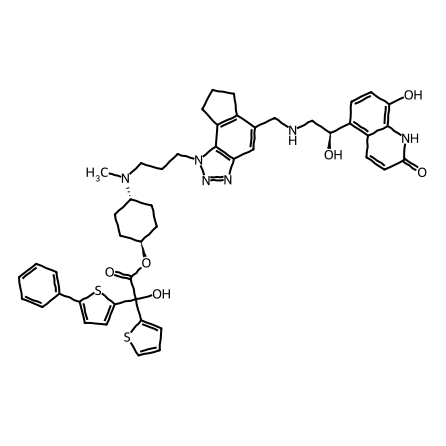 CN(CCCn1nnc2cc(CNC[C@H](O)c3ccc(O)c4[nH]c(=O)ccc34)c3c(c21)CCC3)[C@H]1CC[C@H](OC(=O)C(O)(c2cccs2)c2ccc(-c3ccccc3)s2)CC1